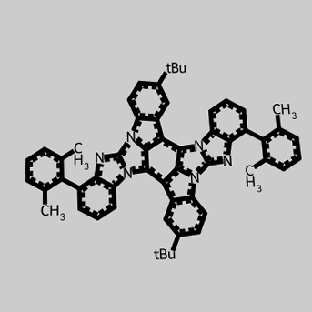 Cc1cccc(C)c1-c1cccc2c1nc1n2c2c3c4cc(C(C)(C)C)ccc4n4c3c(c3c5cc(C(C)(C)C)ccc5n1c32)n1c2cccc(-c3c(C)cccc3C)c2nc14